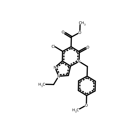 CCn1cc2c(n1)c(Cl)c(C(=O)OC)c(=O)n2Cc1ccc(OC)cc1